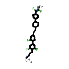 C/C=C/CCc1c(F)cc(-c2ccc(CCC3CCC(c4ccc(/C(F)=C(\F)CCC)cc4)CC3)cc2F)cc1F